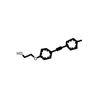 Cc1ccc(C#Cc2ccc(OCCO)cc2)cc1